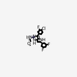 COC[C@H](C)N/C(=N/C(=O)c1ccc(Cl)c(F)c1)Nc1cc(-c2cc(F)cc(F)c2)[nH]n1